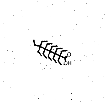 CCC(CC)(CC)C(CC)(CC)C(CC)(CC)C(CC)(CC)C(CC)(CC)C(=O)O